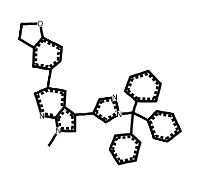 Cn1cc(-c2cnn(C(c3ccccc3)(c3ccccc3)c3ccccc3)c2)c2cc(-c3ccc4c(c3)CCO4)cnc21